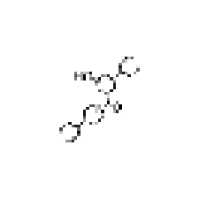 O=C(C1CC(c2ccccc2)=C[C@@H](O)C1)N1CC=C(c2ccccc2)CC1